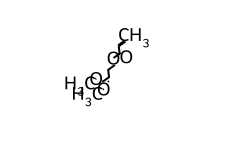 CC=CC(=O)OCCC[C](OC)OC